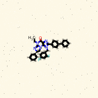 CCN1C(=O)c2nc(-c3ccc(-c4ccccc4)cc3)n(Cc3ccc(F)cc3F)c2N2C[C@@H](c3ccccc3)N=C12